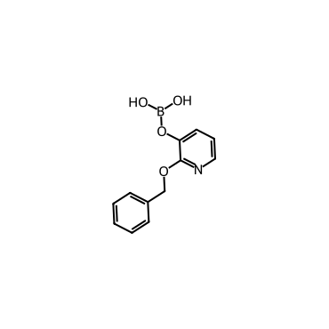 OB(O)Oc1cccnc1OCc1ccccc1